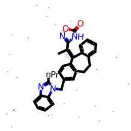 CCCc1nc2ccccc2n1Cc1ccc2c(c1)CCc1ccccc1/C2=C(/C)c1noc(=O)[nH]1